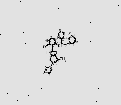 Cc1cc(-n2ccnc2)cc2[nH]c(-c3c(NC(Cc4cccc(Br)c4)c4ccccn4)cc[nH]c3=O)nc12